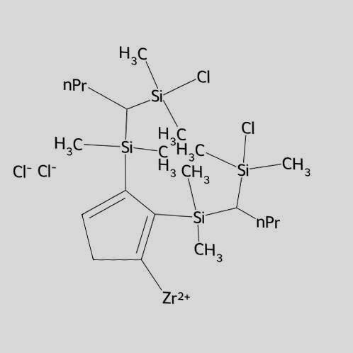 CCCC([Si](C)(C)Cl)[Si](C)(C)C1=CC[C]([Zr+2])=C1[Si](C)(C)C(CCC)[Si](C)(C)Cl.[Cl-].[Cl-]